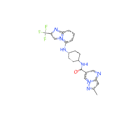 Cc1cc2ncc(C(=O)NC3CCC(Nc4cccc5nc(C(F)(F)F)cn45)CC3)cn2n1